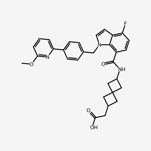 COc1cccc(-c2ccc(Cn3ccc4c(F)ccc(C(=O)NC5CC6(CC(CC(=O)O)C6)C5)c43)cc2)n1